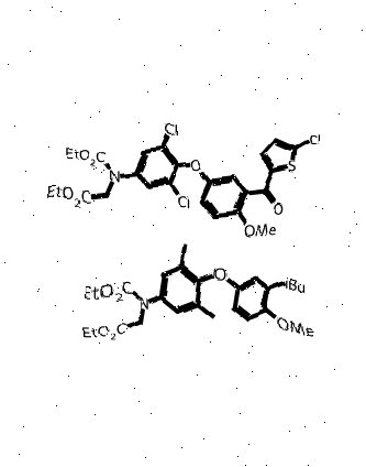 CCOC(=O)CN(C(=O)OCC)c1cc(C)c(Oc2ccc(OC)c(C(C)CC)c2)c(C)c1.CCOC(=O)CN(C(=O)OCC)c1cc(Cl)c(Oc2ccc(OC)c(C(=O)c3ccc(Cl)s3)c2)c(Cl)c1